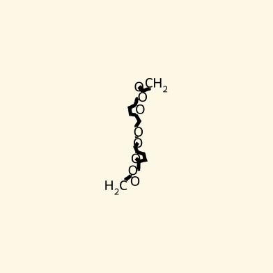 C=CC(=O)OCC1CCC(CCOCOCC2CCC(COC(=O)C=C)O2)O1